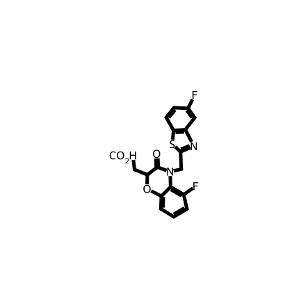 O=C(O)CC1Oc2cccc(F)c2N(Cc2nc3cc(F)ccc3s2)C1=O